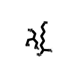 CC(C)CCCCCO.CCC(CC)CO